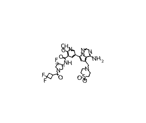 COc1ncc(-c2cc(CN3CCS(=O)(=O)CC3)c3c(N)ncnn23)cc1C(=O)N[C@@H]1CN(C(=O)C2CC(F)(F)C2)C[C@@H]1F